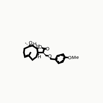 COc1ccc(COC[C@@H]2C(=O)O[C@H]3[C@H]2CC/C(C)=C/CC[C@@]2(C)O[C@H]32)cc1